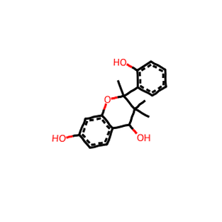 CC1(c2ccccc2O)Oc2cc(O)ccc2C(O)C1(C)C